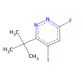 CC(C)(C)c1nnc(F)cc1I